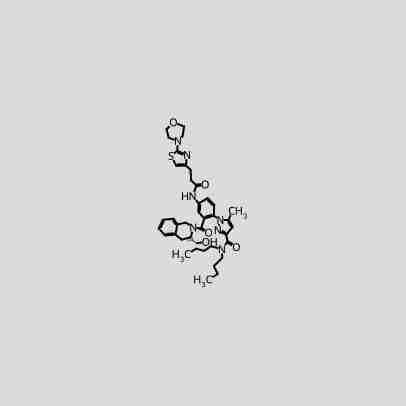 CCCCN(CCCC)C(=O)c1cc(C)n(-c2ccc(NC(=O)CCc3csc(N4CCOCC4)n3)cc2C(=O)N2Cc3ccccc3C[C@H]2CO)n1